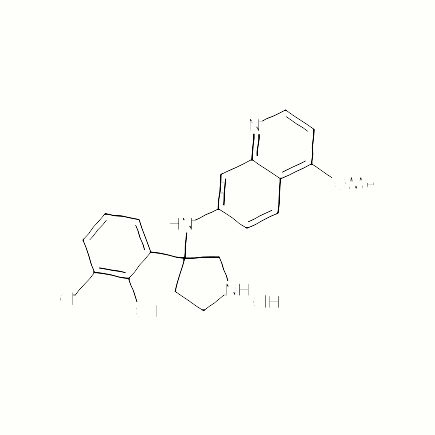 COc1ccnc2cc(NC3(c4cccc(Cl)c4C)CCNC3)ccc12.Cl